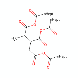 [CH2]C(C(=O)OC(=O)CCCCCCC)C(CC(=O)OC(=O)CCCCCCC)C(=O)OC(=O)CCCCCCC